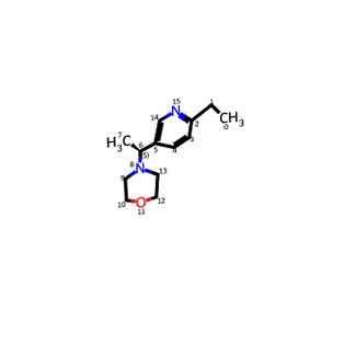 CCc1ccc([C@H](C)N2CCOCC2)cn1